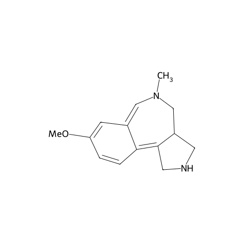 COc1ccc2c(c1)=CN(C)CC1CNCC=21